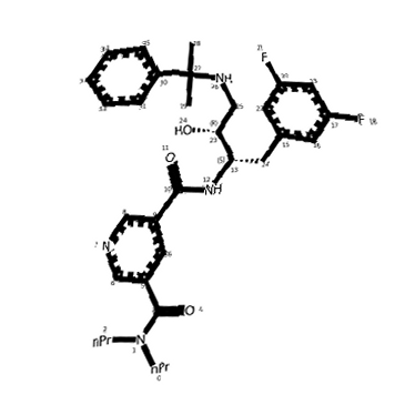 CCCN(CCC)C(=O)c1cncc(C(=O)N[C@@H](Cc2cc(F)cc(F)c2)[C@H](O)CNC(C)(C)c2ccccc2)c1